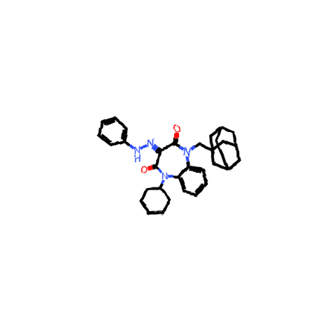 O=c1/c(=N/Nc2ccccc2)c(=O)n(C2CCCCC2)c2ccccc2n1CC12CC3CC(CC(C3)C1)C2